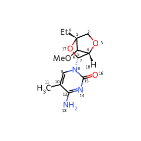 CC[C@@]12CO[C@@H](C1OC)[C@H](n1cc(C)c(N)nc1=O)O2